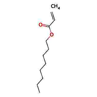 C.C=CC(=O)OCCCCCCCC